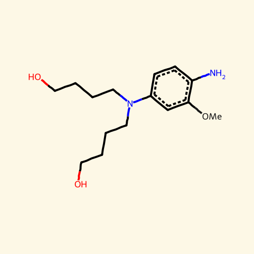 COc1cc(N(CCCCO)CCCCO)ccc1N